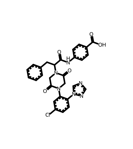 O=C(O)c1ccc(NC(=O)C(Cc2ccccc2)N2CC(=O)N(c3cc(Cl)ccc3-n3cncn3)CC2=O)cc1